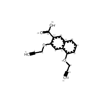 C#CCOc1cc2c(OCC#C)cccc2cc1C(=O)O